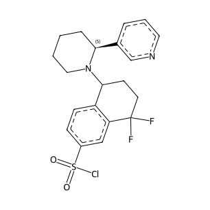 O=S(=O)(Cl)c1ccc2c(c1)C(F)(F)CCC2N1CCCC[C@H]1c1cccnc1